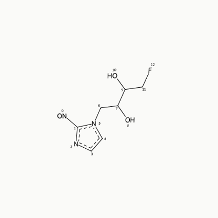 O=Nc1nccn1CC(O)C(O)CF